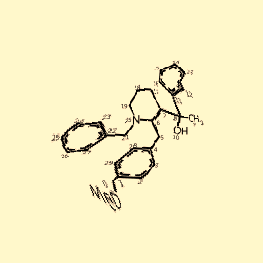 COc1ccc(CC2C(C(C)(O)c3ccccc3)CCCN2Cc2ccccc2)cc1